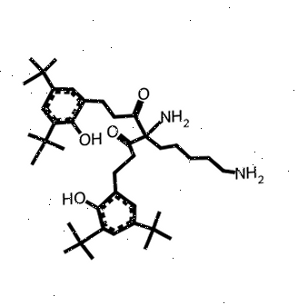 CC(C)(C)c1cc(CCC(=O)C(N)(CCCCCN)C(=O)CCc2cc(C(C)(C)C)cc(C(C)(C)C)c2O)c(O)c(C(C)(C)C)c1